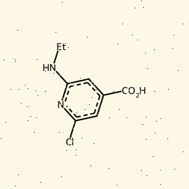 CCNc1cc(C(=O)O)cc(Cl)n1